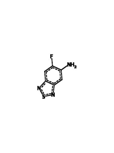 Nc1cc2nsnc2cc1F